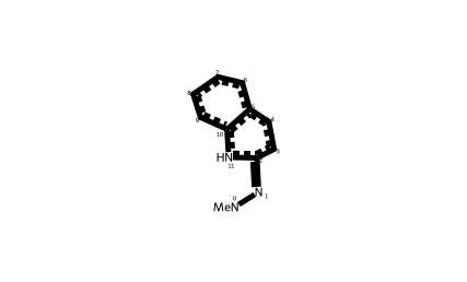 CNN=c1ccc2ccccc2[nH]1